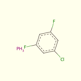 Fc1cc(F)cc(Cl)c1.P